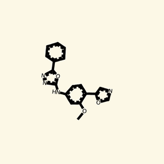 COc1cc(Nc2nnc(-c3ccccc3)o2)ccc1-c1cnco1